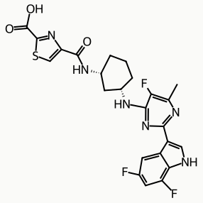 Cc1nc(-c2c[nH]c3c(F)cc(F)cc23)nc(N[C@H]2CCC[C@@H](NC(=O)c3csc(C(=O)O)n3)C2)c1F